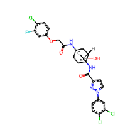 O=C(COc1ccc(Cl)c(F)c1)NC12CCC(NC(=O)c3ccn(-c4ccc(Cl)c(Cl)c4)n3)(CC1)[C@@H](O)C2